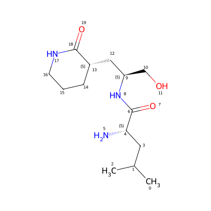 CC(C)C[C@H](N)C(=O)N[C@H](CO)C[C@@H]1CCCNC1=O